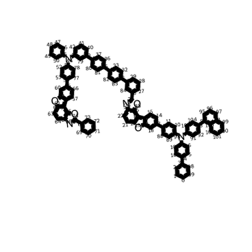 c1ccc(-c2ccc(N(c3ccc(-c4ccc5c(c4)oc4ccc6nc(-c7cccc(-c8ccc(-c9ccc(-c%10cccc(N(c%11ccccc%11)c%11ccc(-c%12ccc%13c(c%12)oc%12ccc%14nc(-c%15ccccc%15)oc%14c%12%13)cc%11)c%10)cc9)cc8)c7)oc6c45)cc3)c3ccc(-c4cccc5ccccc45)cc3)cc2)cc1